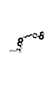 CCCCCOC(=O)Oc1ccc2ccc(OCCCCN3CCN(c4cccc5sccc45)CC3)cc2n1